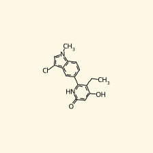 CCc1c(O)cc(=O)[nH]c1-c1ccc2c(c1)c(Cl)cn2C